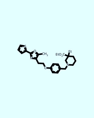 CCOC(=O)C1(CC)CCCN(Cc2ccc(OCCc3nc(-c4cccs4)oc3C)cc2)C1